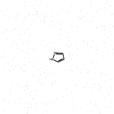 B1C=CC=N1